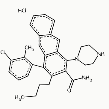 CCCCc1c(C(N)=O)c(N2CCNCC2)c2cc3ccccc3cc2c1-c1cccc(Cl)c1C.Cl